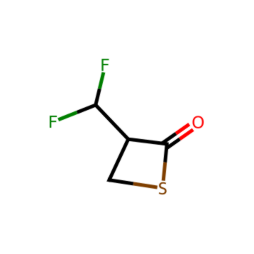 O=C1SCC1C(F)F